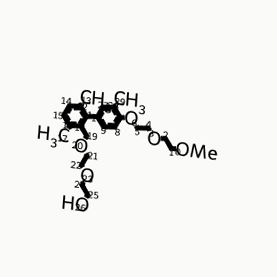 COCCOCCOc1ccc(-c2c(C)ccc(C)c2COCCOCCO)cc1C